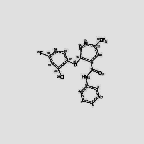 O=C(Nc1cccnc1)c1cc(C(F)(F)F)nnc1Oc1ccc(F)cc1Cl